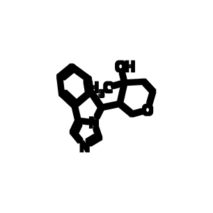 CC1(O)CCOCC1C1c2ccccc2-c2cncn21